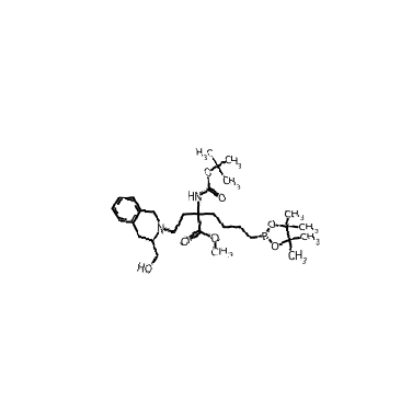 COC(=O)C(CCCCB1OC(C)(C)C(C)(C)O1)(CCN1Cc2ccccc2CC1CO)NC(=O)OC(C)(C)C